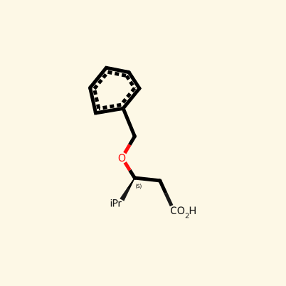 CC(C)[C@H](CC(=O)O)OCc1ccccc1